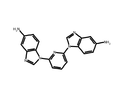 Nc1ccc2c(c1)ncn2-c1cccc(-n2cnc3cc(N)ccc32)n1